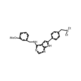 CCN(CC)Cc1ccc(-c2cc3c(NCc4cccc(OC)c4)ncnc3[nH]2)cc1